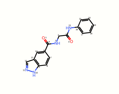 O=C(CNC(=O)c1ccc2[nH]ncc2c1)Nc1ccccc1